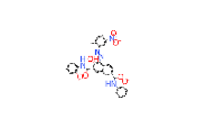 COc1ccccc1NC(=O)c1ccc2c(N=Nc3cc([N+](=O)[O-])ccc3C)c(O)c(C(=O)Nc3ccccc3OC)cc2c1